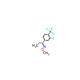 CCC(=NOC)c1ccc(C(F)(F)F)c(F)c1